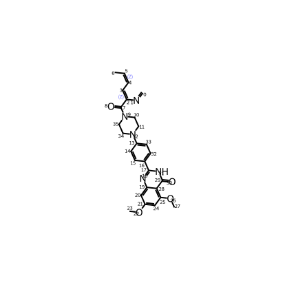 C=N/C(=C\C=C/C)C(=O)N1CCN(c2ccc(-c3nc4cc(OC)cc(OC)c4c(=O)[nH]3)cc2)CC1